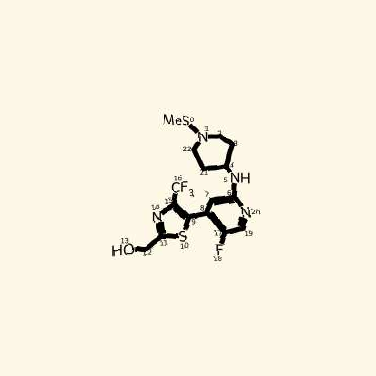 CSN1CCC(Nc2cc(-c3sc(CO)nc3C(F)(F)F)c(F)cn2)CC1